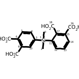 C[Si](C)(c1ccc(C(=O)O)c(C(=O)O)c1)c1cccc(C(=O)O)c1C(=O)O